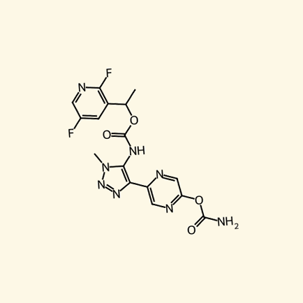 CC(OC(=O)Nc1c(-c2cnc(OC(N)=O)cn2)nnn1C)c1cc(F)cnc1F